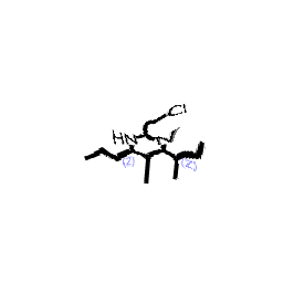 C/C=C(/C)C1=C(C)/C(=C/CC)NC(CCl)=N1